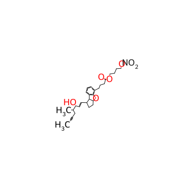 CC#CCC(C)C(O)/C=C/C1CCC2Oc3c(CCCC(=O)OCCCCO[N+](=O)[O-])cccc3C12